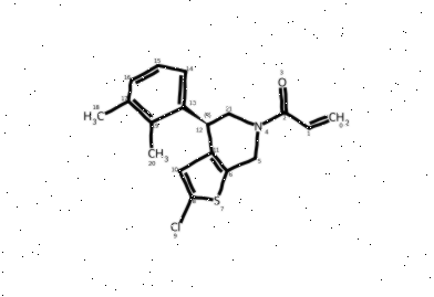 C=CC(=O)N1Cc2sc(Cl)cc2[C@@H](c2cccc(C)c2C)C1